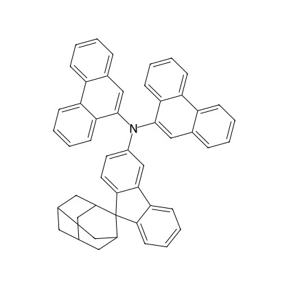 c1ccc2c(c1)-c1cc(N(c3cc4ccccc4c4ccccc34)c3cc4ccccc4c4ccccc34)ccc1C21C2CC3CC(C2)CC1C3